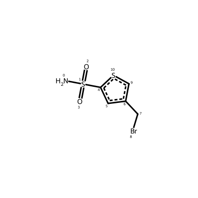 NS(=O)(=O)c1cc(CBr)cs1